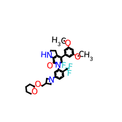 COc1cc(OC)cc(-c2cn(-c3cc(N4CC(COC5CCCCO5)C4)ccc3C(F)(F)F)c(=O)c3c2CCN3)c1